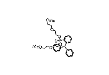 COCCOCCOP(=O)(OCCOCCOC)c1ccccc1C(c1ccccc1)c1ccccc1